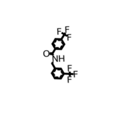 O=C(NCc1cccc(C(F)(F)F)c1)c1ccc(C(F)(F)F)cc1